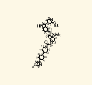 CCOc1cc(-c2n[nH]c3ccc(NC(=O)[C@]4(SC)CCN(CC(=O)N5CC=C(c6ccc(-c7ncn(C)n7)cc6)CC5)C4)cc23)ccn1